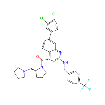 O=C(c1cc(NCc2ccc(C(F)(F)F)cc2)nc2cc(-c3ccc(Cl)c(Cl)c3)ccc12)N1CCC[C@H]1CN1CCCC1